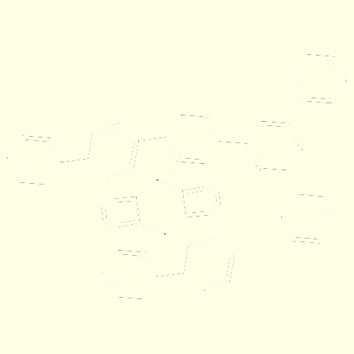 c1ccc(-c2cc(-c3ccc4c(c3)C3(c5cc6c(cc5-4)sc4ccccc46)c4ccccc4C4(c5ccccc5-c5ccccc54)c4ccccc43)nc(-c3ccccc3)n2)cc1